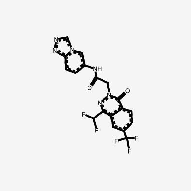 O=C(Cn1nc(C(F)F)c2cc(C(F)(F)F)ccc2c1=O)Nc1ccc2nncn2c1